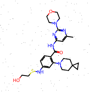 Cc1cc(NC(=O)c2ccc(NSCCO)cc2N2CCC3(CC2)CC3)nc(N2CCOCC2)n1